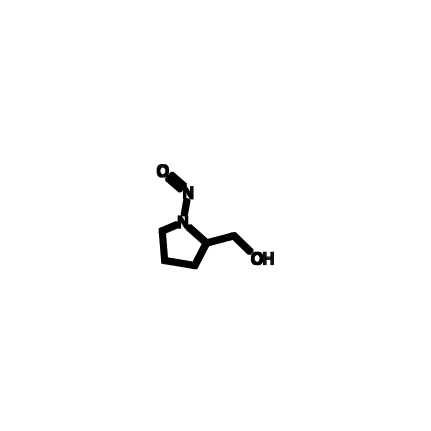 O=NN1CCCC1CO